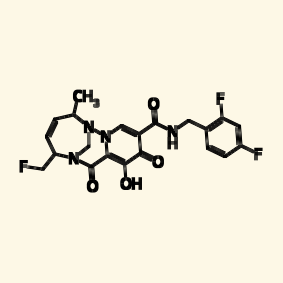 CC1C=CC(CF)N2CN1n1cc(C(=O)NCc3ccc(F)cc3F)c(=O)c(O)c1C2=O